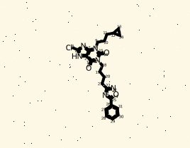 O=c1c2[nH]c(Cl)nc2n(CCCC2CC2)c(=O)n1CCCCc1noc(-c2ccccc2)n1